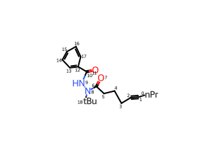 CCCC#CCCCC(=O)N(NC(=O)c1ccccc1)C(C)(C)C